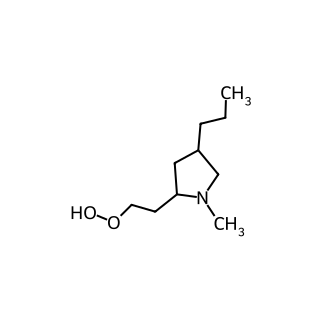 CCCC1CC(CCOO)N(C)C1